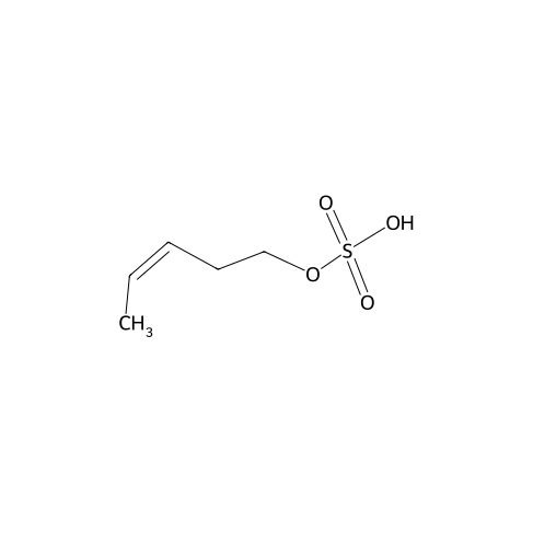 C/C=C\CCOS(=O)(=O)O